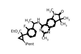 CCC[C@H](C)C1CC1(C(=O)OCC)c1cccc(C(C)Nc2nc(C)nc3cc4c(cc23)N(C)C(=O)C4(C)C)c1F